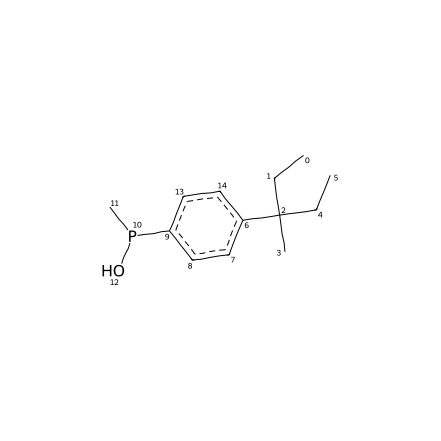 CCC(C)(CC)c1ccc(P(C)O)cc1